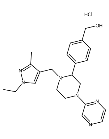 CCn1cc(CN2CCN(c3cnccn3)CC2c2ccc(CO)cc2)c(C)n1.Cl